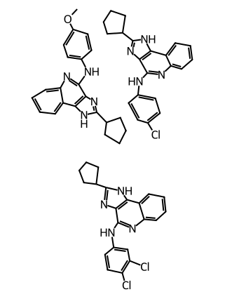 COc1ccc(Nc2nc3ccccc3c3[nH]c(C4CCCC4)nc23)cc1.Clc1ccc(Nc2nc3ccccc3c3[nH]c(C4CCCC4)nc23)cc1.Clc1ccc(Nc2nc3ccccc3c3[nH]c(C4CCCC4)nc23)cc1Cl